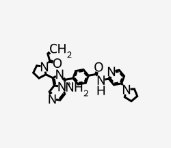 C=CC(=O)N1CCCC1C1=C2C=NC=C[N+]2(N)C(c2ccc(C(=O)Nc3cc(N4CCCC4)ccn3)cc2)=N1